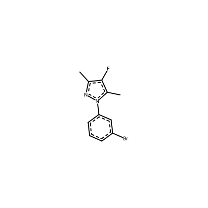 Cc1nn(-c2cccc(Br)c2)c(C)c1F